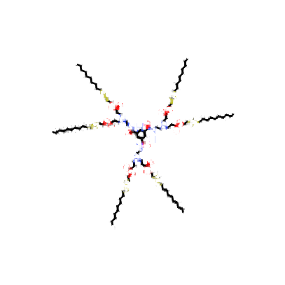 CCCCCCCCCCSSCCOC(=O)CCN(CCNC(=O)c1cc(C(=O)NCCN(CCC(=O)OCCSSCCCCCCCCCC)CCC(=O)OCCSSCCCCCCCCCC)cc(C(=O)NCCN(CCC(=O)OCCSSCCCCCCCCCC)CCC(=O)OCCSSCCCCCCCCCC)c1)CCC(=O)OCCSSCCCCCCCCCC